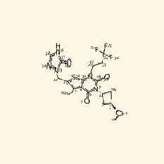 CO[C@H]1C[C@H](n2c(=O)c3c(C)c(Cn4nc[nH]c4=O)sc3n(CCC(F)(F)F)c2=O)C1